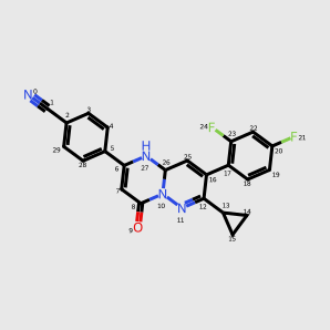 N#Cc1ccc(C2=CC(=O)N3N=C(C4CC4)C(c4ccc(F)cc4F)=CC3N2)cc1